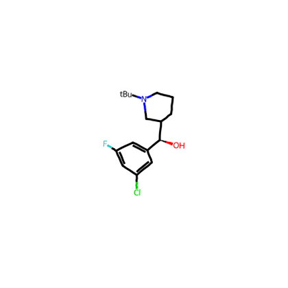 CC(C)(C)N1CCCC([C@@H](O)c2cc(F)cc(Cl)c2)C1